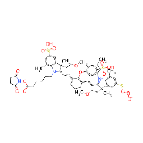 CCCC[N+]1=C(/C=C/C2=C(Oc3ccc(S(=O)(=O)O)cc3)C(=C/C=C3/N(CCCCCC(=O)ON4C(=O)CCC4=O)c4c(C)cc(S(=O)(=O)O)cc4C3(C)CCOC)/CCC2)C(C)(CCOC)c2cc(SOO[O-])cc(C)c21